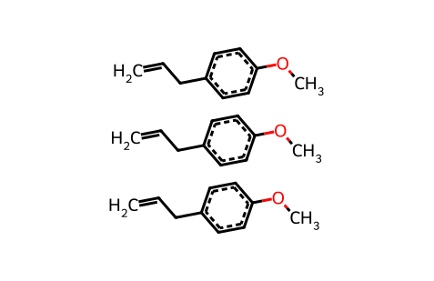 C=CCc1ccc(OC)cc1.C=CCc1ccc(OC)cc1.C=CCc1ccc(OC)cc1